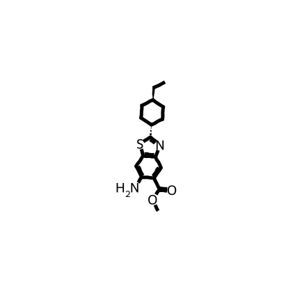 CC[C@H]1CC[C@H](c2nc3cc(C(=O)OC)c(N)cc3s2)CC1